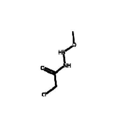 COBNC(=O)CCl